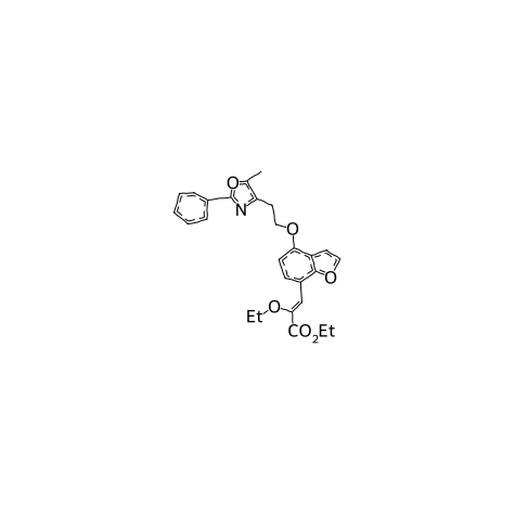 CCOC(=O)/C(=C/c1ccc(OCCc2nc(-c3ccccc3)oc2C)c2ccoc12)OCC